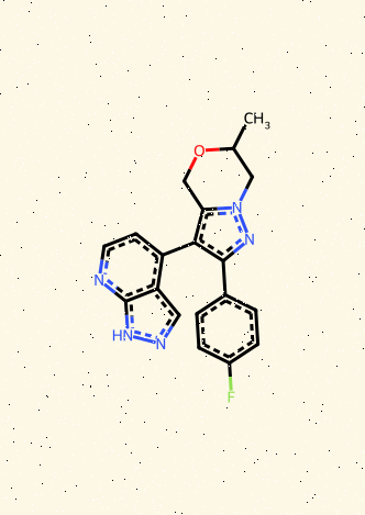 CC1Cn2nc(-c3ccc(F)cc3)c(-c3ccnc4[nH]ncc34)c2CO1